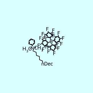 CCCCCCCCCCCCCCCC[N+](C)(C)c1ccccc1.Fc1c(F)c(F)c([B-](c2c(F)c(F)c(F)c(F)c2F)(c2c(F)c(F)c(F)c(F)c2F)c2c(F)c(F)c(F)c(F)c2F)c(F)c1F